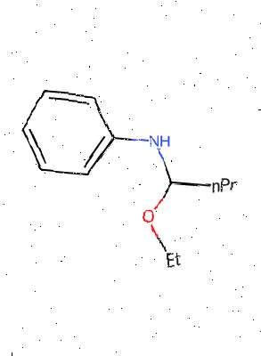 CCCC(Nc1ccccc1)OCC